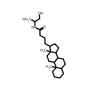 CC12CCCCC1CCC1C2CCC2(C)C(CCCC(=O)NC(CO)C(=O)O)CCC12